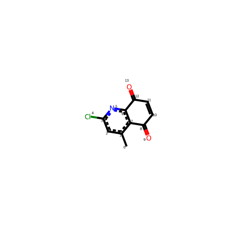 Cc1cc(Cl)nc2c1C(=O)C=CC2=O